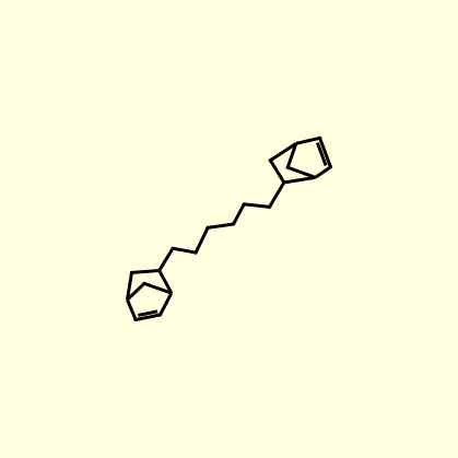 C1=CC2CC1CC2CCCCCCC1CC2C=CC1C2